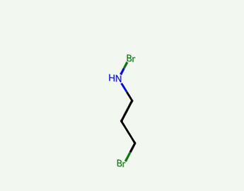 BrCCCNBr